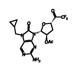 CC(=O)O[C@@H]1C[C@@H](C(=O)C(F)(F)F)O[C@H]1n1c(=O)n(CC2CC2)c2cnc(N)nc21